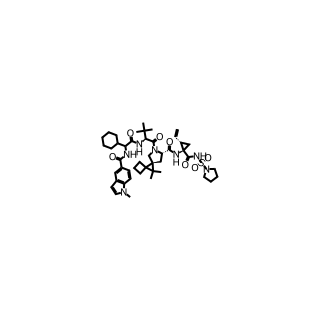 C=C[C@@H]1C[C@]1(NC(=O)[C@@H]1C[C@@]2(CN1C(=O)[C@@H](NC(=O)C(NC(=O)c1ccc3c(ccn3C)c1)C1CCCCC1)C(C)(C)C)C(C)(C)C21CCC1)C(=O)NS(=O)(=O)N1CCCC1